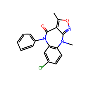 Cc1onc2c1C(=O)N(c1ccccc1)c1cc(Cl)ccc1N2C